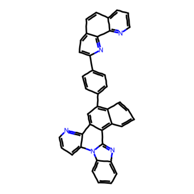 c1cnc2c(c1)ccc1ccc(-c3ccc(-c4cc5c6ncccc6n6c7ccccc7nc6c5c5ccccc45)cc3)nc12